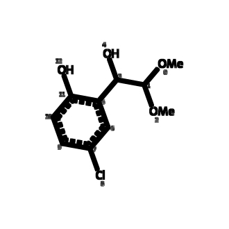 COC(OC)C(O)c1cc(Cl)ccc1O